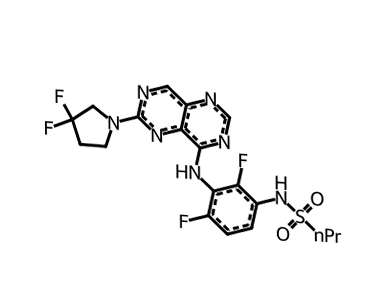 CCCS(=O)(=O)Nc1ccc(F)c(Nc2ncnc3cnc(N4CCC(F)(F)C4)nc23)c1F